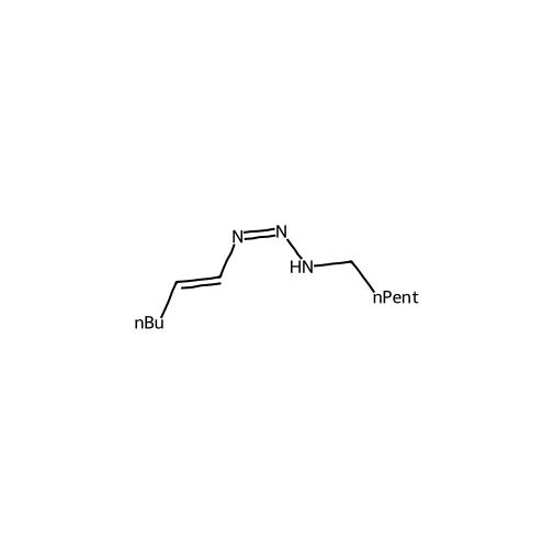 CCCC/C=C/N=N\NCCCCCC